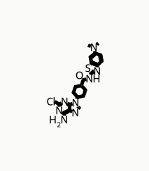 CN(C)c1ccc2nc(NC(=O)C3CCC(n4cnc5c(N)nc(Cl)nc54)CC3)sc2c1